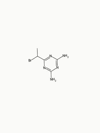 CC(Br)c1nc(N)nc(N)n1